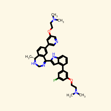 C[C@H]1NCN=C(c2cc3c(-c4cc(F)cc(OCCN(C)C)c4)cccc3[nH]2)c2cc(-c3cncc(OCCN(C)C)c3)ccc21